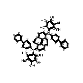 Oc1c(O)c(O)c(N(c2ccc(-c3ccccc3)cc2)c2ccc3ccc4c(N(c5ccc(-c6ccccc6)cc5)c5c(O)c(O)c(O)c(O)c5O)ccc5ccc2c3c54)c(O)c1O